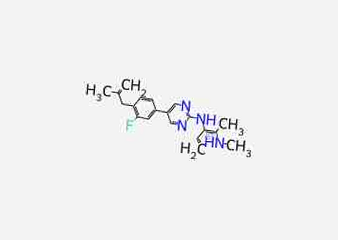 C=C/C(Nc1ncc(-c2ccc(CC(=C)C)c(F)c2)cn1)=C(/C)NC